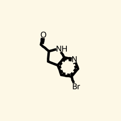 O=CC1Cc2cc(Br)cnc2N1